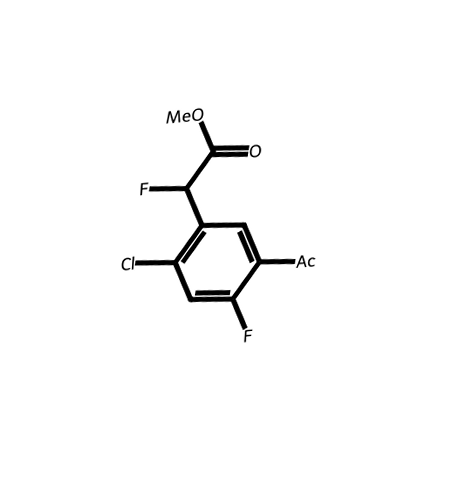 COC(=O)C(F)c1cc(C(C)=O)c(F)cc1Cl